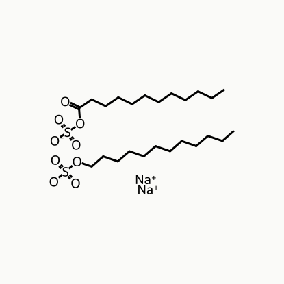 CCCCCCCCCCCC(=O)OS(=O)(=O)[O-].CCCCCCCCCCCCOS(=O)(=O)[O-].[Na+].[Na+]